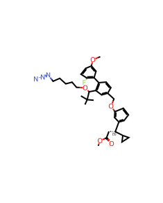 COC(=O)C[C@H](c1cccc(OCc2ccc(-c3cc(OC)ccc3F)c(C(OCCCCCN=[N+]=[N-])C(C)(C)C)c2)c1)C1CC1